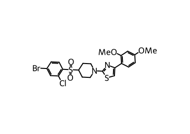 COc1ccc(-c2csc(N3CCC(S(=O)(=O)c4ccc(Br)cc4Cl)CC3)n2)c(OC)c1